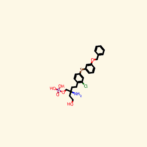 NC(CCO)(CCc1ccc(Sc2cccc(OCc3ccccc3)c2)cc1Cl)COP(=O)(O)O